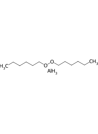 CCCCCCOOCCCCCC.[AlH3]